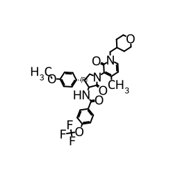 COc1ccc([C@@H]2CN(c3c(C)ccn(CC4CCOCC4)c3=O)C(=O)C2NC(=O)c2ccc(OC(F)(F)F)cc2)cc1